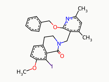 COc1ccc2c(c1I)C(=O)N(Cc1c(C)cc(C)nc1OCc1ccccc1)CC2